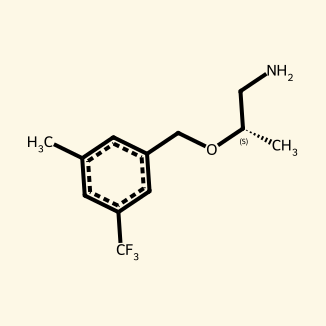 Cc1cc(CO[C@@H](C)CN)cc(C(F)(F)F)c1